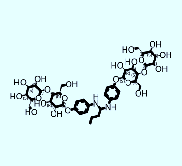 CCCC(Nc1ccc(O[C@@H]2O[C@H](CO)[C@@H](O[C@H]3O[C@H](CO)[C@@H](O)[C@H](O)[C@H]3O)[C@H](O)[C@H]2O)cc1)Nc1ccc(O[C@@H]2O[C@H](CO)[C@@H](O[C@H]3O[C@H](CO)[C@@H](O)[C@H](O)[C@H]3O)[C@H](O)[C@H]2O)cc1